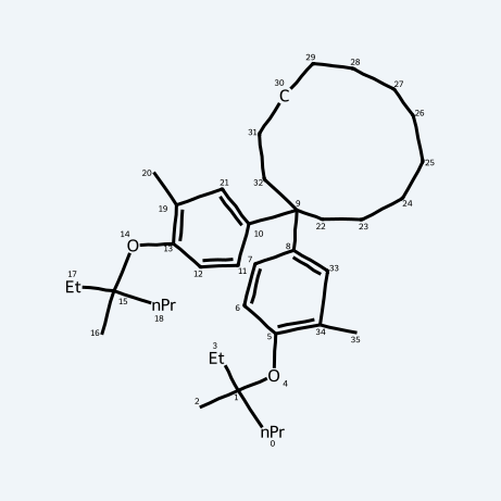 CCCC(C)(CC)Oc1ccc(C2(c3ccc(OC(C)(CC)CCC)c(C)c3)CCCCCCCCCCC2)cc1C